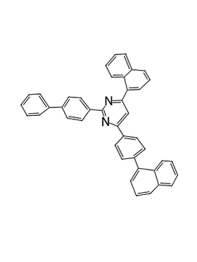 c1ccc(-c2ccc(-c3nc(-c4ccc(-c5cccc6ccccc56)cc4)cc(-c4cccc5ccccc45)n3)cc2)cc1